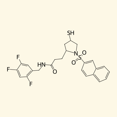 O=C(CCC1CC(S)CN1S(=O)(=O)c1ccc2ccccc2c1)NCc1cc(F)c(F)cc1F